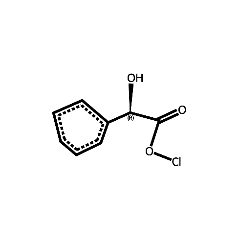 O=C(OCl)[C@H](O)c1ccccc1